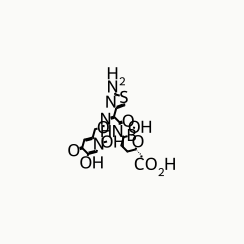 Nc1nc(/C(=N/OCc2cc(=O)c(O)cn2O)C(=O)N[C@H]2CC[C@@H](CC(=O)O)OB2O)cs1